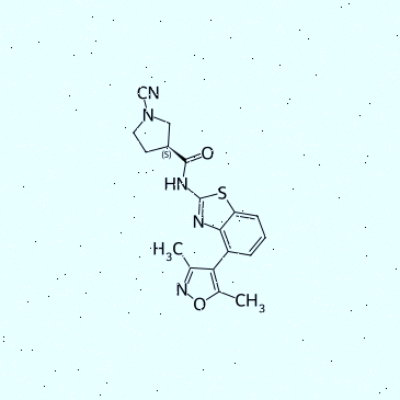 Cc1noc(C)c1-c1cccc2sc(NC(=O)[C@H]3CCN(C#N)C3)nc12